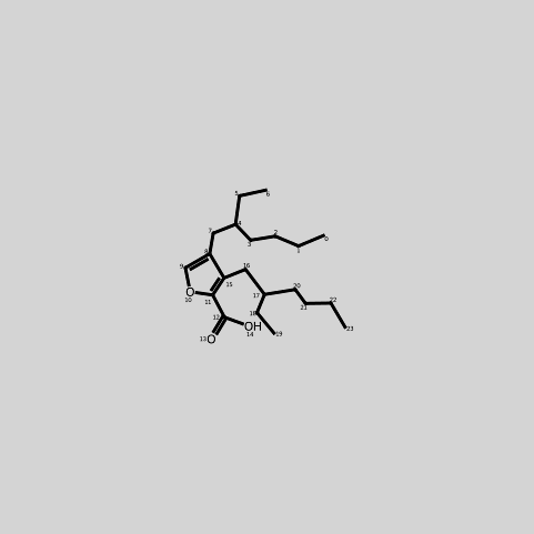 CCCCC(CC)Cc1coc(C(=O)O)c1CC(CC)CCCC